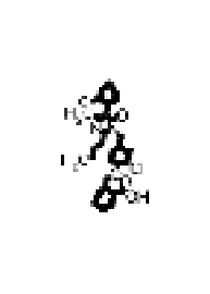 CCCCc1nc(C)c(-c2ccccc2Cl)c(=O)n1Cc1ccc(OCc2ccccc2C(=O)O)c(Cl)c1